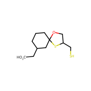 O=C(O)CC1CCCC2(C1)OCC(CS)S2